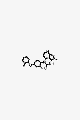 Cc1cc(Oc2ccccc2F)ccc1N1C(=O)Nc2c(C)sc3nccc1c23